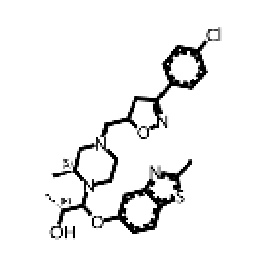 Cc1nc2cc(OC([C@@H](C)O)N3CCN(CC4CC(c5ccc(Cl)cc5)=NO4)C[C@@H]3C)ccc2s1